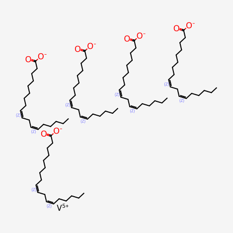 CCCCC/C=C\C/C=C\CCCCCCCC(=O)[O-].CCCCC/C=C\C/C=C\CCCCCCCC(=O)[O-].CCCCC/C=C\C/C=C\CCCCCCCC(=O)[O-].CCCCC/C=C\C/C=C\CCCCCCCC(=O)[O-].CCCCC/C=C\C/C=C\CCCCCCCC(=O)[O-].[V+5]